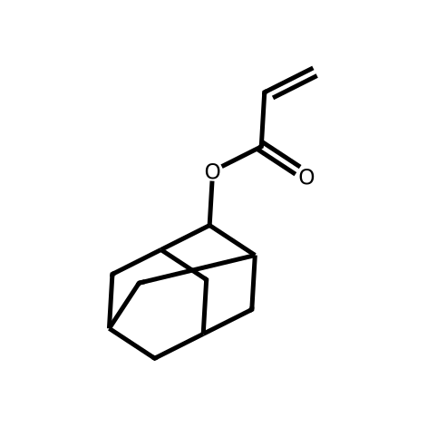 C=CC(=O)OC1C2CC3CC(C2)CC1C3